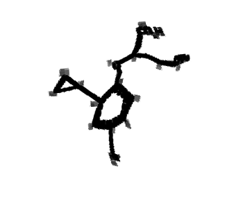 COCC(Oc1ccc(Br)cc1C1CC1)C(=O)O